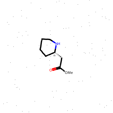 COC(=O)C[C@@H]1CCCCN1